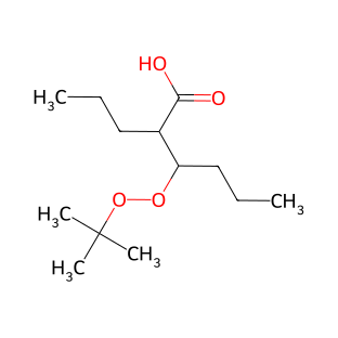 CCCC(OOC(C)(C)C)C(CCC)C(=O)O